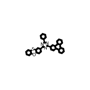 c1ccc(-c2nc(-c3ccc4c(c3)Sc3ccccc3O4)nc(-c3ccc4c5ccccc5c5ccccc5c4c3)n2)cc1